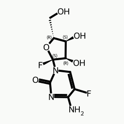 Nc1nc(=O)n([C@]2(F)O[C@H](CO)[C@@H](O)[C@H]2O)cc1F